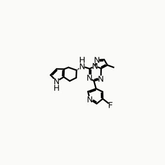 Cc1cnn2c(N[C@@H]3CCc4[nH]ccc4C3)nc(-c3cncc(F)c3)nc12